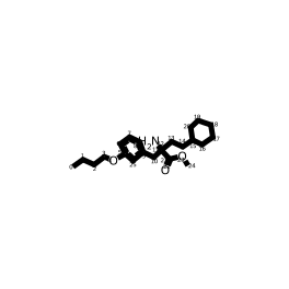 CCCCOc1cccc(CC(N)(CCC2CCCCC2)C(=O)OC)c1